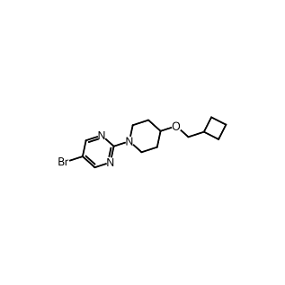 Brc1cnc(N2CCC(OCC3CCC3)CC2)nc1